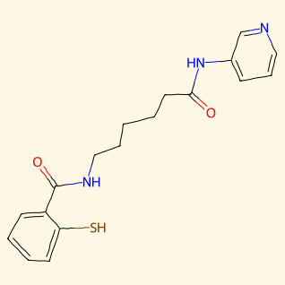 O=C(CCCCCNC(=O)c1ccccc1S)Nc1cccnc1